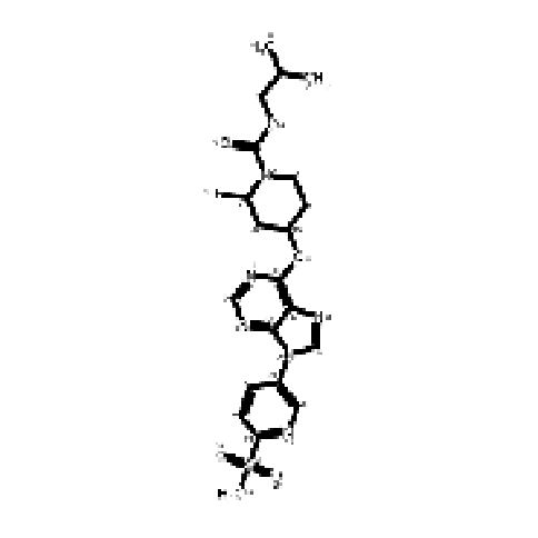 CC(C)COC(=O)N1CCC(Oc2ncnc3c2ncn3-c2ccc(S(C)(=O)=O)nc2)CC1F